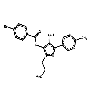 CCc1ccc(C(=O)Nc2c(C(=O)O)c(-c3cnc(C)nc3)nn2CCOC)cc1